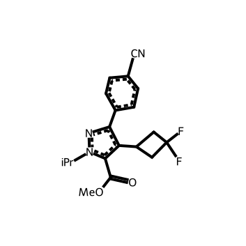 COC(=O)c1c(C2CC(F)(F)C2)c(-c2ccc(C#N)cc2)nn1C(C)C